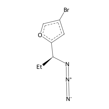 CC[C@H](N=[N+]=[N-])c1cc(Br)co1